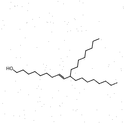 CCCCCCCCC(/C=C/CCCCCCCO)CCCCCCCC